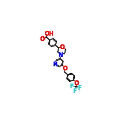 O=C(O)c1ccc(C2CN(c3cncc(OCc4ccc(OC(F)(F)F)cc4)c3)CCO2)cc1